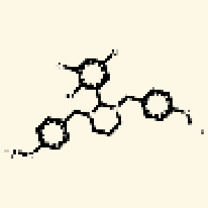 COc1ccc(CN2CCCN(Cc3ccc(OC)cc3)C2c2cc(Cl)cc(Cl)c2O)cc1